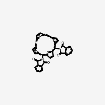 O=C1c2ccccc2C(=O)N1c1c2nc(c(N3C(=O)c4ccccc4C3=O)c3ccc(cc4nc(cc5ccc1[nH]5)C=C4)[nH]3)C=C2